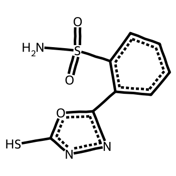 NS(=O)(=O)c1ccccc1-c1nnc(S)o1